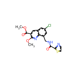 COC(=O)c1cc2cc(Cl)cc(CNC(=O)c3nccs3)c2nc1OC